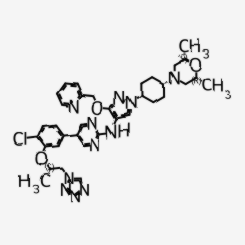 C[C@@H]1CN([C@H]2CC[C@H](n3cc(Nc4ncc(-c5ccc(Cl)c(O[C@@H](C)Cn6cnnn6)c5)cn4)c(OCc4ccccn4)n3)CC2)C[C@H](C)O1